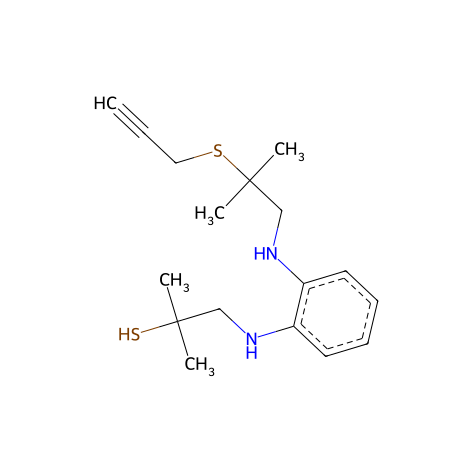 C#CCSC(C)(C)CNc1ccccc1NCC(C)(C)S